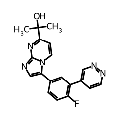 CC(C)(O)c1ccn2c(-c3ccc(F)c(-c4ccnnc4)c3)cnc2n1